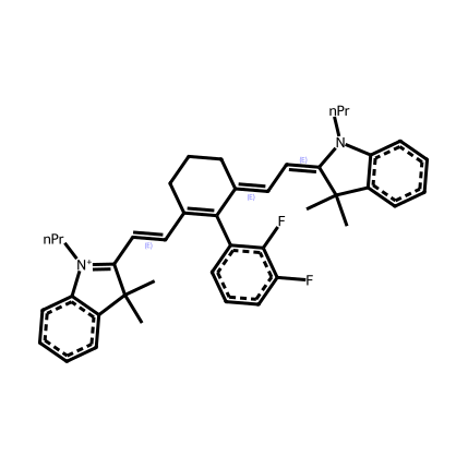 CCCN1/C(=C/C=C2\CCCC(/C=C/C3=[N+](CCC)c4ccccc4C3(C)C)=C2c2cccc(F)c2F)C(C)(C)c2ccccc21